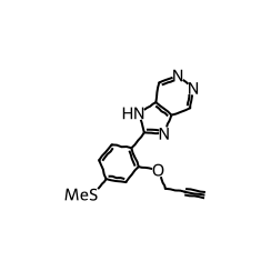 C#CCOc1cc(SC)ccc1-c1nc2cnncc2[nH]1